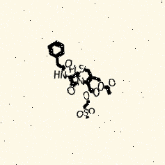 CC(=O)OCC1=C(C(=O)OCCS(C)(=O)=O)N2C(=O)[C@@H](NC(=O)Cc3ccccc3)[C@H]2SC1